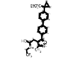 CCOC(=O)C1(c2ccc(-c3ccc(-c4onc(C)c4CC(O)SCC(F)(F)F)cc3)cc2)CC1